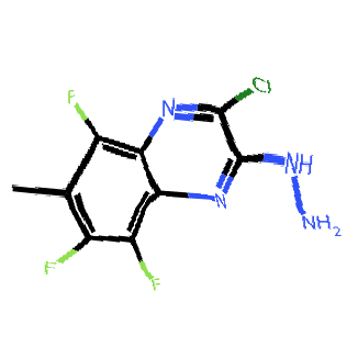 Cc1c(F)c(F)c2nc(NN)c(Cl)nc2c1F